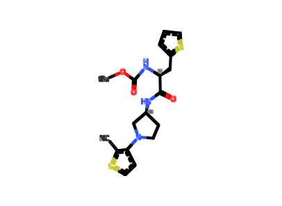 CC(C)(C)OC(=O)N[C@@H](Cc1cccs1)C(=O)N[C@H]1CCN(c2ccsc2C#N)C1